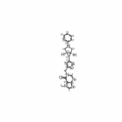 Cn1cnc2ncn(Cc3nc(C4[C@H]5CN(c6ccccn6)C[C@@H]45)no3)c(=O)c21